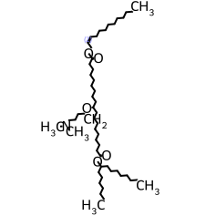 C=C(CCCN(C)C)OC(CCCCCCCCC(=O)OC/C=C\CCCCCCCCCC)CCCCCCCCC(=O)OC(CCCCCCC)CCCCCCCC